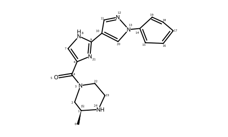 C[C@H]1CN(C(=O)c2c[nH]c(-c3cnn(-c4ccccc4)c3)n2)CCN1